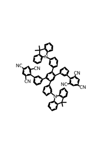 CC1(C)c2ccccc2N(c2cccc(-c3cc(-c4cccc(-c5c(C#N)cc(C#N)cc5C#N)c4)c(-c4cccc(N5c6ccccc6C(C)(C)c6ccccc65)c4)cc3-c3cccc(-c4c(C#N)cc(C#N)cc4C#N)c3)c2)c2ccccc21